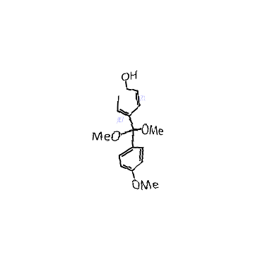 C/C=C(\C=C/CO)C(OC)(OC)c1ccc(OC)cc1